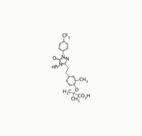 CCCn1c(CCc2ccc(OC(C)(C)C(=O)O)c(C)c2)nn(-c2ccc(C(F)(F)F)cc2)c1=O